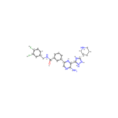 Nc1ncc(-c2cccc(C(=O)NCc3ccc(F)c(F)c3)c2)nc1-c1nc([C@H]2CCCNC2)n[nH]1